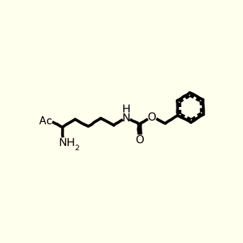 CC(=O)C(N)CCCCNC(=O)OCc1ccccc1